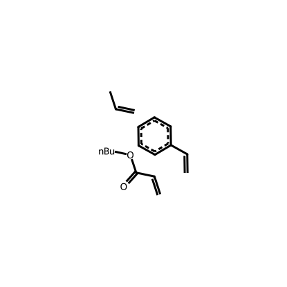 C=CC.C=CC(=O)OCCCC.C=Cc1ccccc1